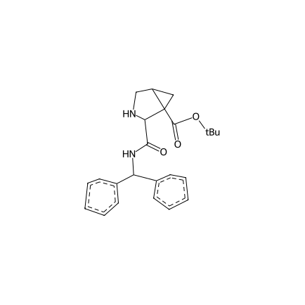 CC(C)(C)OC(=O)C12CC1CNC2C(=O)NC(c1ccccc1)c1ccccc1